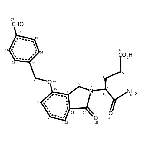 NC(=O)[C@H](CCC(=O)O)N1Cc2c(OCc3ccc(C=O)cc3)cccc2C1=O